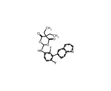 CCC1(CC)C(=O)OC(Nc2ccc(F)c(-c3ccc4ncccc4c3)c2F)OC1=O